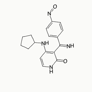 N=C(c1ccc(N=O)cc1)c1c(NC2CCCC2)cc[nH]c1=O